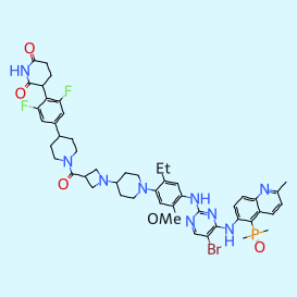 CCc1cc(Nc2ncc(Br)c(Nc3ccc4nc(C)ccc4c3P(C)(C)=O)n2)c(OC)cc1N1CCC(N2CC(C(=O)N3CCC(c4cc(F)c(C5CCC(=O)NC5=O)c(F)c4)CC3)C2)CC1